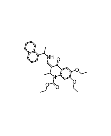 CCOC(=O)N1c2cc(OCC)c(OCC)cc2C(=O)C(=CNC(C)c2cccc3ccccc23)C1C